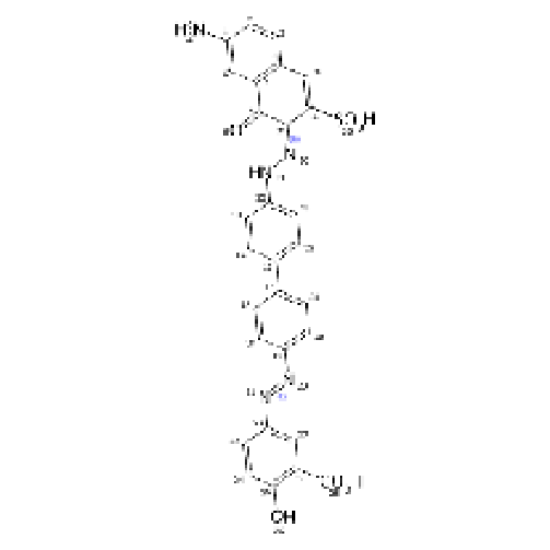 Nc1ccc2c(c1)C(=O)/C(=N\Nc1ccc(-c3ccc(/N=N/c4ccc(O)c(C(=O)O)c4)cc3)cc1)C(S(=O)(=O)O)=C2